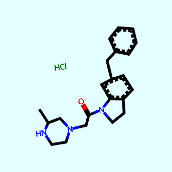 CC1CN(CC(=O)N2CCc3ccc(Cc4ccccc4)cc32)CCN1.Cl